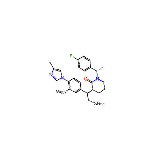 CNCC(c1ccc(-n2cnc(C)c2)c(OC)c1)C1CCCN([C@@H](C)c2ccc(F)cc2)C1=O